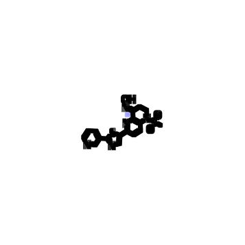 CS(=O)(=O)N1CC/C(=N\O)c2nc(-c3cnc(-c4cccnc4)s3)ccc21